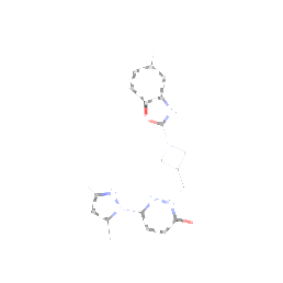 Cc1cc(C)n(-c2ccc(=O)n(CC3CN(c4nc5cc(F)ccc5o4)C3)n2)n1